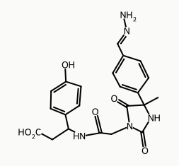 CC1(c2ccc(C=NN)cc2)NC(=O)N(CC(=O)NC(CC(=O)O)c2ccc(O)cc2)C1=O